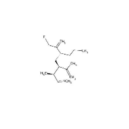 C=C[C@@H](C)[C@@H](C[C@@H](CCC)C(=C)CF)C(=C)C